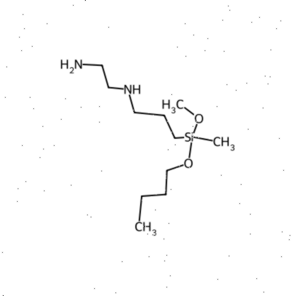 CCCCO[Si](C)(CCCNCCN)OC